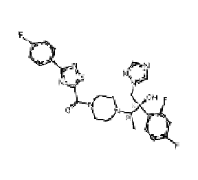 C[C@@H](N1CCN(C(=O)c2nc(-c3ccc(F)cc3)ns2)CC1)[C@](O)(Cn1cncn1)c1ccc(F)cc1F